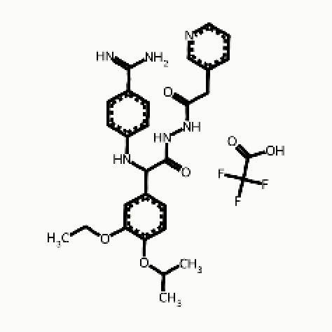 CCOc1cc(C(Nc2ccc(C(=N)N)cc2)C(=O)NNC(=O)Cc2cccnc2)ccc1OC(C)C.O=C(O)C(F)(F)F